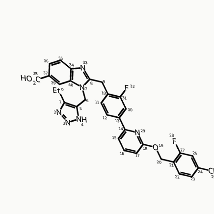 CCc1nn[nH]c1Cn1c(Cc2ccc(-c3cccc(OCc4ccc(C#N)cc4F)n3)cc2F)nc2ccc(C(=O)O)cc21